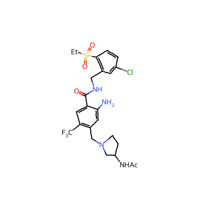 CCS(=O)(=O)c1ccc(Cl)cc1CNC(=O)c1cc(C(F)(F)F)c(CN2CCC(NC(C)=O)C2)cc1N